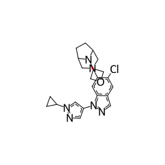 Clc1cc2cnn(-c3cnn(C4CC4)c3)c2cc1N1CC2CCC(C1)N2C1COC1